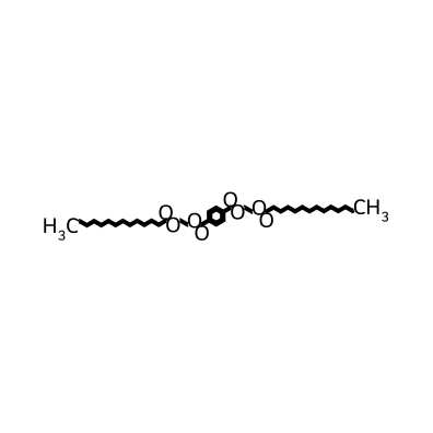 CCCCCCCCCCCCCC(=O)OCCOC(=O)c1ccc(C(=O)OCCOC(=O)CCCCCCCCCCCCC)cc1